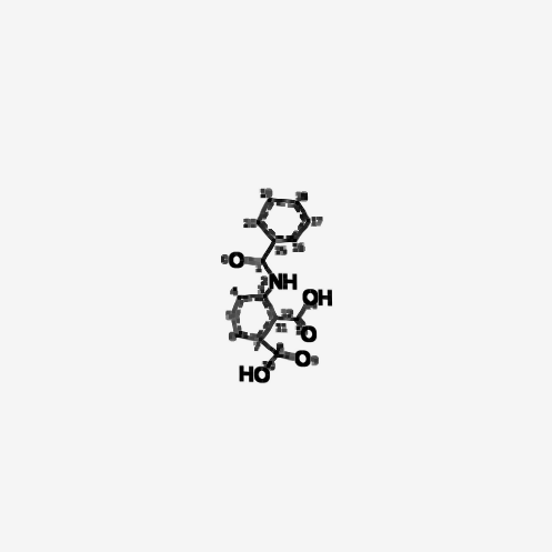 O=C(Nc1cccc(C(=O)O)c1C(=O)O)c1ccccc1